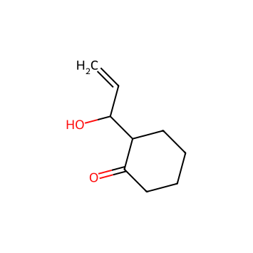 C=CC(O)C1CCCCC1=O